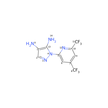 Nc1cnn(-c2cc(C(F)(F)F)cc(C(F)(F)F)n2)c1N